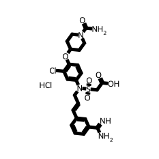 Cl.N=C(N)c1cccc(/C=C/CN(c2ccc(OC3CCN(C(N)=O)CC3)c(Cl)c2)S(=O)(=O)CC(=O)O)c1